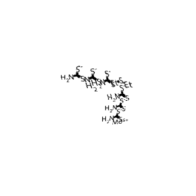 CCSCC.NC(=S)[S-].NC(=S)[S-].NC(=S)[S-].NC(=S)[S-].NC(=S)[S-].NC(=S)[S-].[Mo+6]